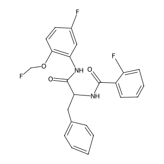 O=C(NC(Cc1ccccc1)C(=O)Nc1cc(F)ccc1OCF)c1ccccc1F